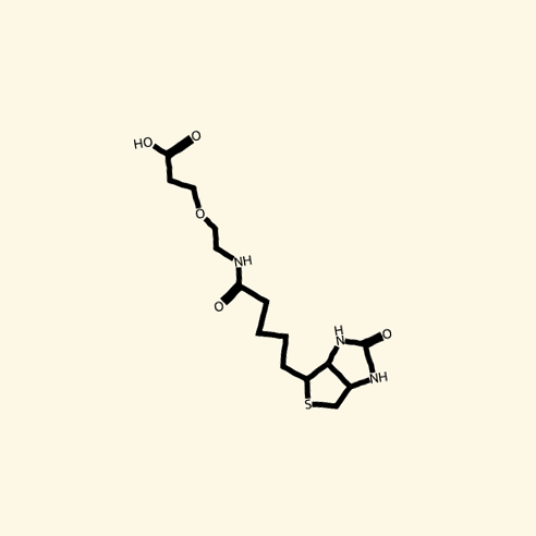 O=C(O)CCOCCNC(=O)CCCCC1SCC2NC(=O)NC21